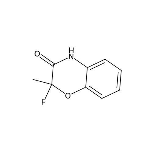 CC1(F)Oc2ccccc2NC1=O